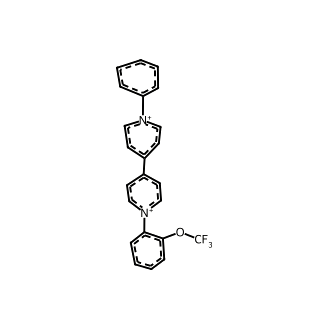 FC(F)(F)Oc1ccccc1-[n+]1ccc(-c2cc[n+](-c3ccccc3)cc2)cc1